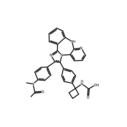 CC(=O)N(C)c1ccc(-c2nc3n(c2-c2ccc(C4(NC(=O)O)CCC4)cc2)-c2cccnc2Nc2ccccc2-3)cc1